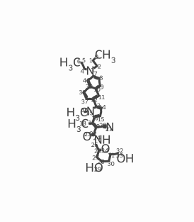 CCCN(CCC)c1ccc2cc(-c3ccc(/C(C)=C(\C#N)C(=O)NCC4CC(O)CC(CO)O4)n3C)ccc2c1